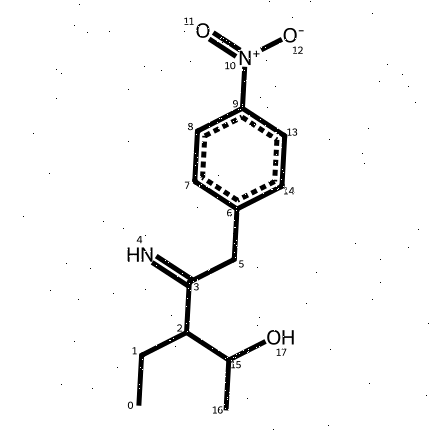 CCC(C(=N)Cc1ccc([N+](=O)[O-])cc1)C(C)O